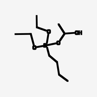 CCCC[Si](OCC)(OCC)OC(C)O